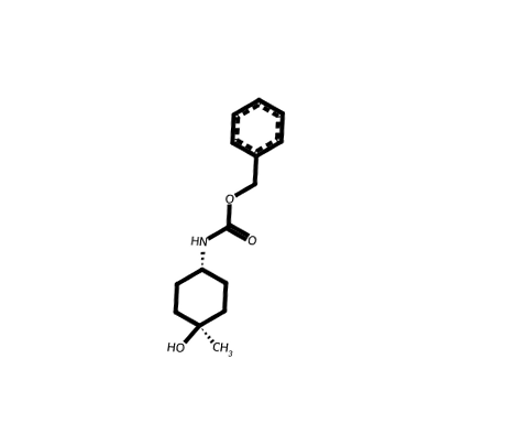 C[C@]1(O)CC[C@H](NC(=O)OCc2ccccc2)CC1